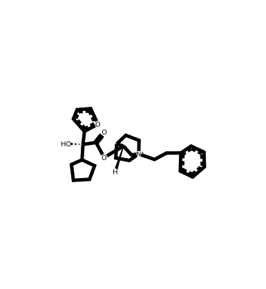 O=C(O[C@H]1C[N+]2(CCc3ccccc3)CCC1CC2)[C@](O)(c1ccco1)C1CCCC1